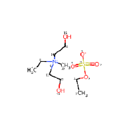 CCOS(=O)(=O)[O-].CC[N+](C)(CCO)CCO